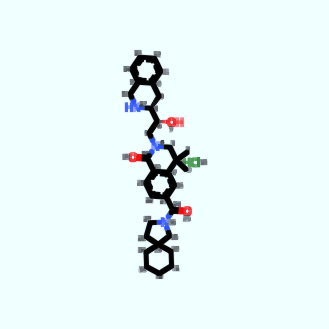 CC1(C)CN(C[C@@H](O)[C@@H]2Cc3ccccc3CN2)C(=O)c2ccc(C(=O)N3CCC4(CCCCC4)C3)cc21.Cl